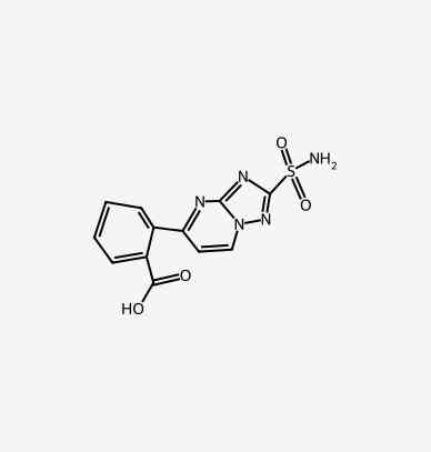 NS(=O)(=O)c1nc2nc(-c3ccccc3C(=O)O)ccn2n1